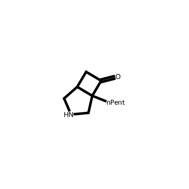 CCCCCC12CNCC1CC2=O